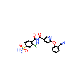 CNS(=O)(=O)c1ccc(C(=O)NC(=O)c2ccc(Oc3ccccc3C#N)nc2)c(Cl)c1